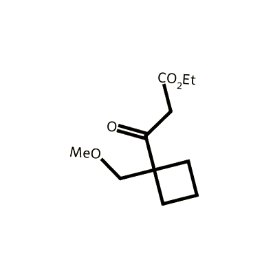 CCOC(=O)CC(=O)C1(COC)CCC1